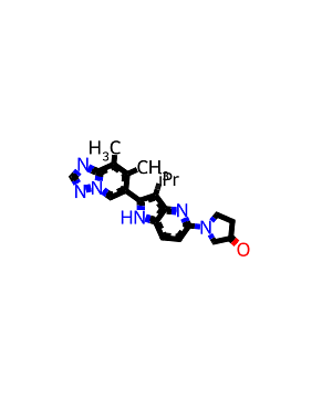 Cc1c(-c2[nH]c3ccc(N4CCC(=O)C4)nc3c2C(C)C)cn2ncnc2c1C